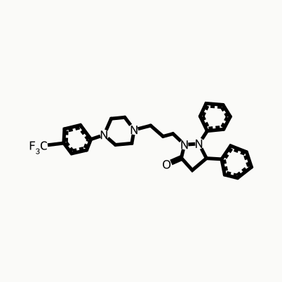 O=C1CC(c2ccccc2)N(c2ccccc2)N1CCCN1CCN(c2ccc(C(F)(F)F)cc2)CC1